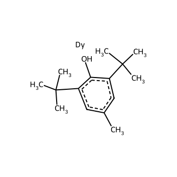 Cc1cc(C(C)(C)C)c(O)c(C(C)(C)C)c1.[Dy]